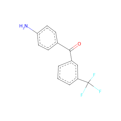 Nc1ccc(C(=O)c2cccc(C(F)(F)F)c2)cc1